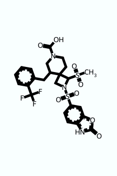 CS(=O)(=O)C1N(S(=O)(=O)c2ccc3[nH]c(=O)oc3c2)CC12CCN(C(=O)O)CC2Cc1ccccc1C(F)(F)F